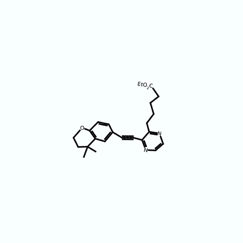 CCOC(=O)CCCCc1nccnc1C#Cc1ccc2c(c1)C(C)(C)CCO2